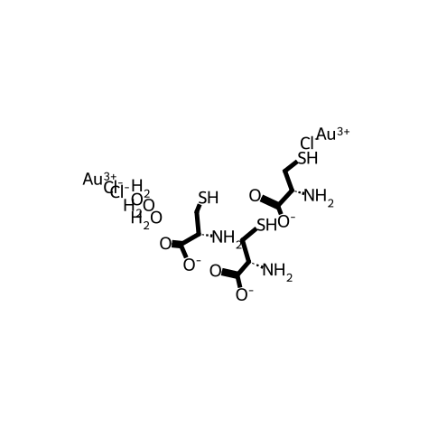 N[C@@H](CS)C(=O)[O-].N[C@@H](CS)C(=O)[O-].N[C@@H](CS)C(=O)[O-].O.O.O.[Au+3].[Au+3].[Cl-].[Cl-].[Cl-]